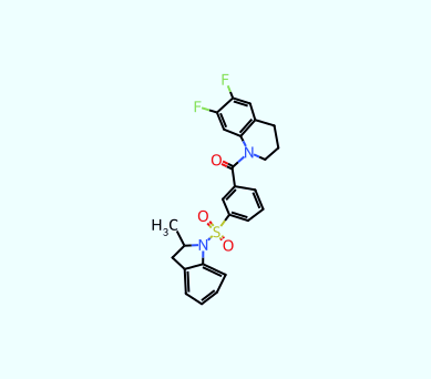 CC1Cc2ccccc2N1S(=O)(=O)c1cccc(C(=O)N2CCCc3cc(F)c(F)cc32)c1